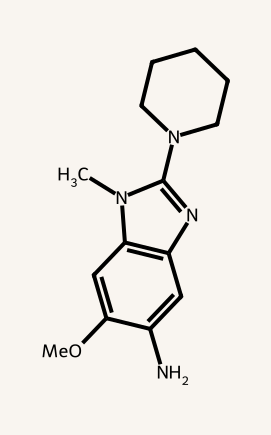 COc1cc2c(cc1N)nc(N1CCCCC1)n2C